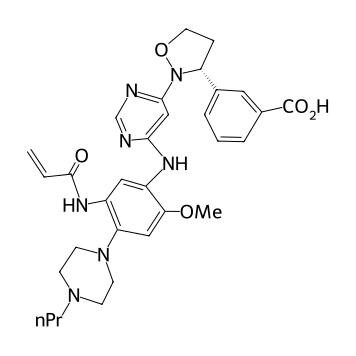 C=CC(=O)Nc1cc(Nc2cc(N3OCC[C@@H]3c3cccc(C(=O)O)c3)ncn2)c(OC)cc1N1CCN(CCC)CC1